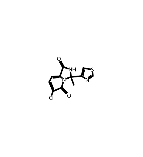 CC1(c2cscn2)NC(=O)c2ccc(Cl)c(=O)n21